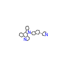 c1ccc2c(c1)c1ncccc1c1c2c2ccccc2n1-c1ccc2cc(-c3ccncc3)ccc2c1